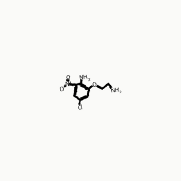 NCCOc1cc(Cl)cc([N+](=O)[O-])c1N